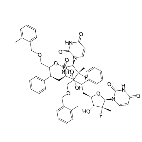 Cc1ccccc1COCC(OP(N)(=O)OC(COCc1ccccc1C)[C@@H](C[C@H]1O[C@@H](n2ccc(=O)[nH]c2=O)[C@](C)(F)[C@@H]1O)c1ccccc1)[C@@H](C[C@H]1O[C@@H](n2ccc(=O)[nH]c2=O)[C@](C)(F)[C@@H]1O)c1ccccc1